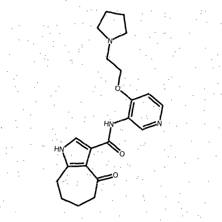 O=C(Nc1cnccc1OCCN1CCCC1)c1c[nH]c2c1C(=O)CCCC2